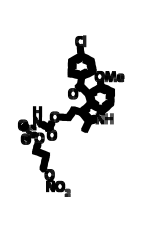 COc1ccc2[nH]c(C)c(CCOC(=O)NS(=O)(=O)OCCCO[N+](=O)[O-])c2c1C(=O)c1ccc(Cl)cc1